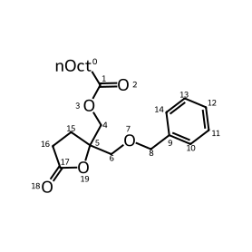 CCCCCCCCC(=O)OCC1(COCc2ccccc2)CCC(=O)O1